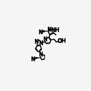 Cc1[nH]nc(C#N)c1-c1nc(-n2cnc3ccc(N4CCC[C@H]4C#N)cc32)ccc1CCO